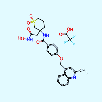 Cc1cc(COc2ccc(C(=O)NC3(CC(=O)NO)CCCS(=O)(=O)C3)cc2)c2ccccc2n1.O=C(O)C(F)(F)F